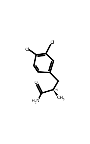 C[C@H]([CH]c1ccc(Cl)c(Cl)c1)C(N)=O